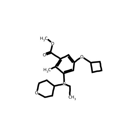 CCN(c1cc(OC2CCC2)cc(C(=O)OC)c1C)C1CCOCC1